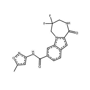 Cc1cc(NC(=O)c2ccc3cc4n(c3c2)CC(F)(F)CNC4=O)no1